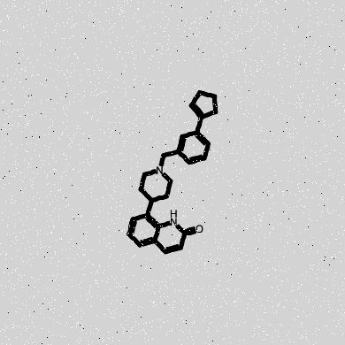 O=c1ccc2cccc(C3CCN(Cc4cccc(C5=CCCC5)c4)CC3)c2[nH]1